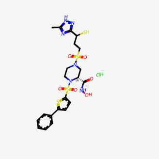 Cc1nc(C(S)CCS(=O)(=O)N2CCN(S(=O)(=O)c3ccc(-c4ccccc4)s3)[C@@H](C(=O)NO)C2)n[nH]1.Cl